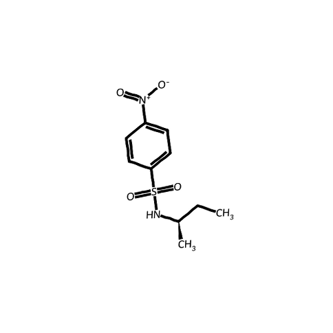 CC[C@@H](C)NS(=O)(=O)c1ccc([N+](=O)[O-])cc1